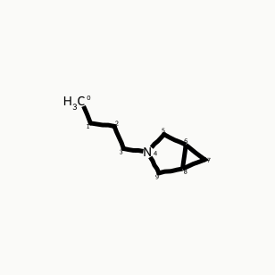 CCCCN1CC2CC2C1